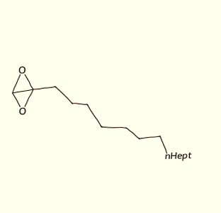 CCCCCCCCCCCCCCC12OC1O2